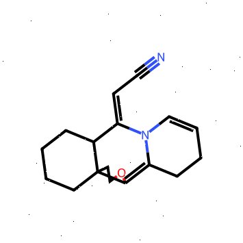 N#CC=C1C2CCCCC23CCOC3=C2CCC=CN12